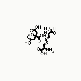 NC(CSSC[C@H](N)C(=O)O)C(=O)O.O=C(O)CC(O)(CC(=O)O)C(=O)O